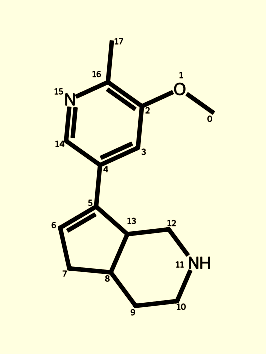 COc1cc(C2=CCC3CCNCC23)cnc1C